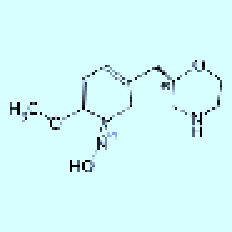 COC1=CC=C(C[C@@H]2CNCCO2)C/C1=N/O